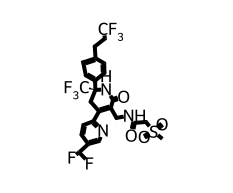 CS(=O)(=O)CC(=O)NCC1=C(c2ccc(C(F)F)cn2)C[C@](c2ccc(CCC(F)(F)F)cc2)(C(F)(F)F)NC1=O